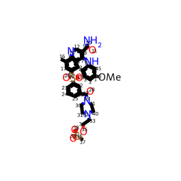 COc1cccc(Nc2c(C(N)=O)cnc3c(C)cc(S(=O)(=O)c4cccc(C(=O)N5CCN(CCOS(C)(=O)=O)CC5)c4)cc23)c1